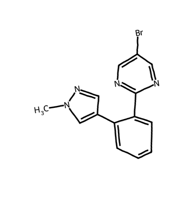 Cn1cc(-c2ccccc2-c2ncc(Br)cn2)cn1